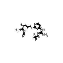 CN(CCCOc1nccc(NC(N)=NCC(F)(F)F)n1)C(N)=NC#N